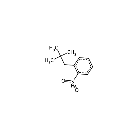 CC(C)(C)Cc1ccccc1[SH](=O)=O